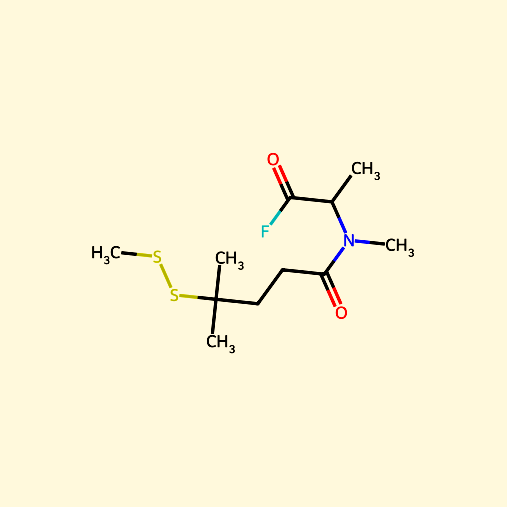 CSSC(C)(C)CCC(=O)N(C)C(C)C(=O)F